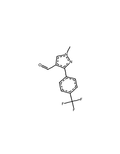 Cn1cc(C=O)c(-c2ccc(C(F)(F)F)cc2)n1